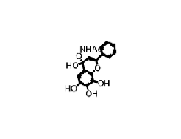 CC(=O)NOC1(O)C=C(c2ccccc2)Oc2c1cc(O)c(O)c2O